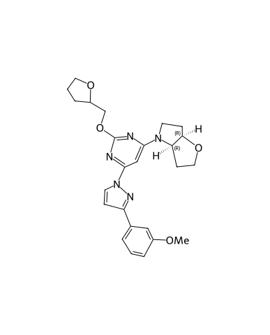 COc1cccc(-c2ccn(-c3cc(N4CC[C@H]5OCC[C@H]54)nc(OCC4CCCO4)n3)n2)c1